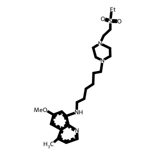 CCS(=O)(=O)CCN1CCN(CCCCCCNc2cc(OC)cc3c(C)ccnc23)CC1